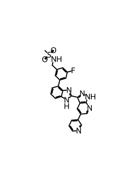 CS(=O)(=O)NCc1cc(F)cc(-c2cccc3[nH]c(-c4n[nH]c5ncc(-c6cccnc6)cc45)nc23)c1